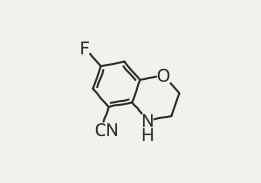 N#Cc1cc(F)cc2c1NCCO2